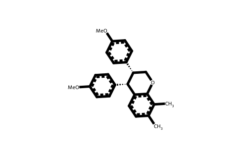 COc1ccc([C@H]2c3ccc(C)c(C)c3OC[C@H]2c2ccc(OC)cc2)cc1